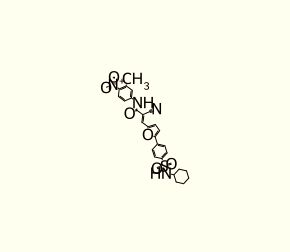 Cc1cc(NC(=O)/C(C#N)=C/c2ccc(-c3ccc(S(=O)(=O)NC4CCCCC4)cc3)o2)ccc1[N+](=O)[O-]